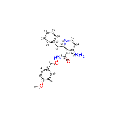 COc1ccc(CONC(=O)c2c(N)ccnc2Cc2ccccc2)cc1